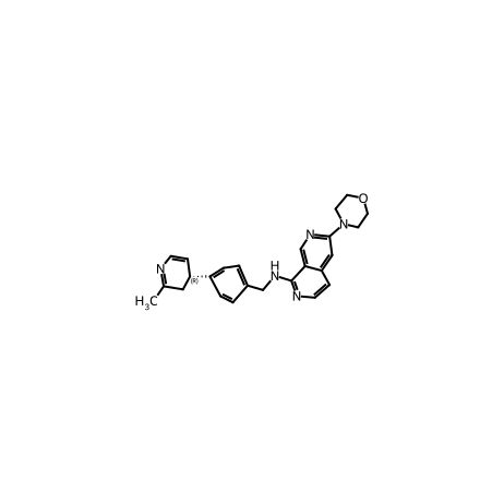 CC1=NC=C[C@H](c2ccc(CNc3nccc4cc(N5CCOCC5)ncc34)cc2)C1